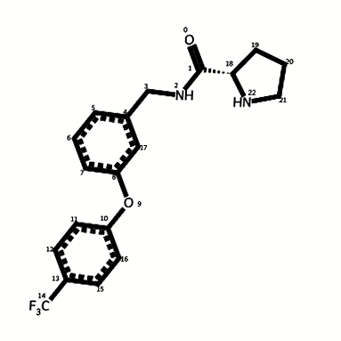 O=C(NCc1cccc(Oc2ccc(C(F)(F)F)cc2)c1)[C@@H]1CCCN1